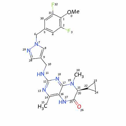 COc1c(F)cc(Cn2cc(CNc3nc(C)c4c(n3)N(C)[C@@H](C3CC3)C(=O)N4)cn2)cc1F